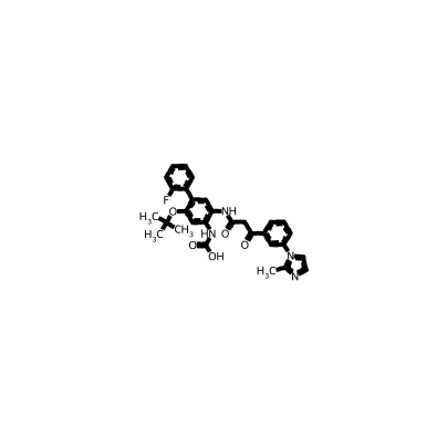 Cc1nccn1-c1cccc(C(=O)CC(=O)Nc2cc(-c3ccccc3F)c(OC(C)(C)C)cc2NC(=O)O)c1